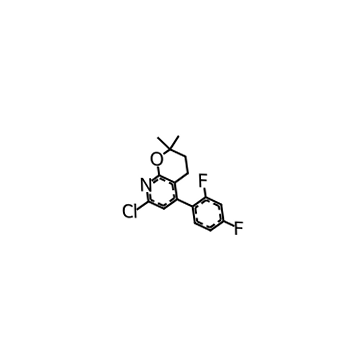 CC1(C)CCc2c(-c3ccc(F)cc3F)cc(Cl)nc2O1